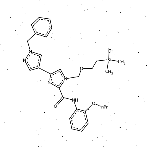 CCCOc1ccccc1NC(=O)c1nc(-c2cnn(Cc3ccccc3)c2)cn1COCC[Si](C)(C)C